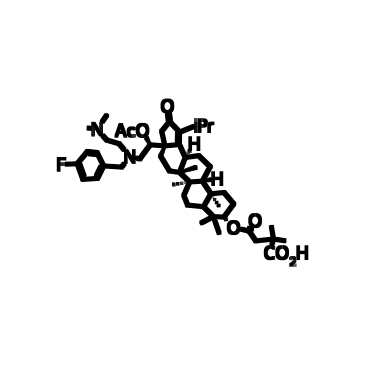 CC(=O)O[C@H](CN(CCN(C)C)Cc1ccc(F)cc1)[C@@]12CC[C@]3(C)[C@H](CC[C@@H]4[C@@]5(C)CC[C@H](OC(=O)CC(C)(C)C(=O)O)C(C)(C)C5CC[C@]43C)C1=C(C(C)C)C(=O)C2